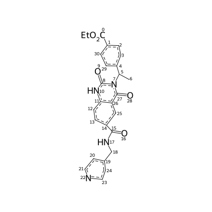 CCOC(=O)c1ccc(C(C)n2c(=O)[nH]c3ccc(C(=O)NCc4ccncc4)cc3c2=O)cc1